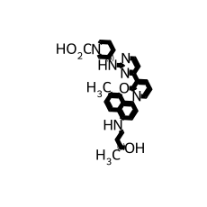 Cc1ccc2c(NCC[C@H](C)O)cccc2c1Oc1ncccc1-c1ccnc(N[C@H]2CCCN(C(=O)O)C2)n1